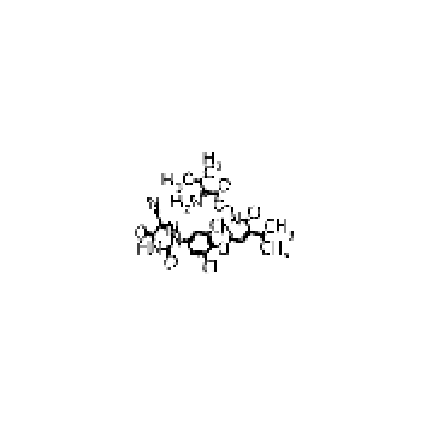 CC(C)c1cc(Oc2c(Cl)cc(-n3nc(C#N)c(=O)[nH]c3=O)cc2Cl)nn(COC(=O)[C@@H](N)C(C)C)c1=O